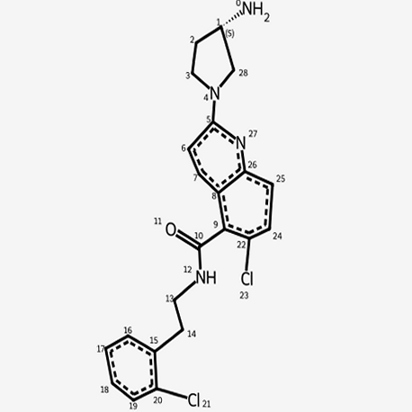 N[C@H]1CCN(c2ccc3c(C(=O)NCCc4ccccc4Cl)c(Cl)ccc3n2)C1